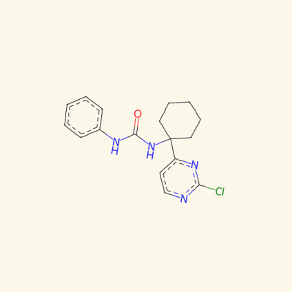 O=C(Nc1ccccc1)NC1(c2ccnc(Cl)n2)CCCCC1